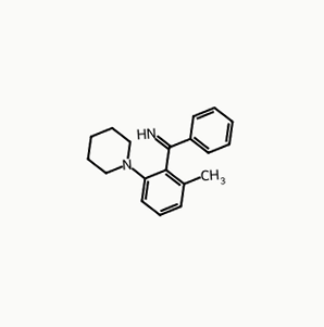 Cc1cccc(N2CCCCC2)c1C(=N)c1ccccc1